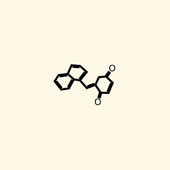 O=C1C=CC(=O)C(=Cc2cccc3ccccc23)C1